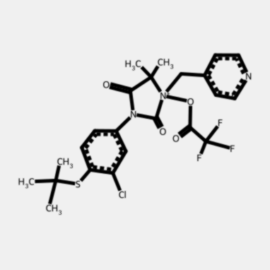 CC(C)(C)Sc1ccc(N2C(=O)C(C)(C)[N+](Cc3ccncc3)(OC(=O)C(F)(F)F)C2=O)cc1Cl